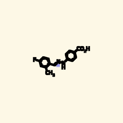 Cc1cc(F)ccc1/C=N/Nc1ccc(C(=O)O)cc1